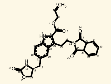 C=CCOC(=O)c1[nH]c2ccc(C[C@H]3COC(=O)N3)cc2c1CCN1C(=O)C2C=CC=CC2C1=O